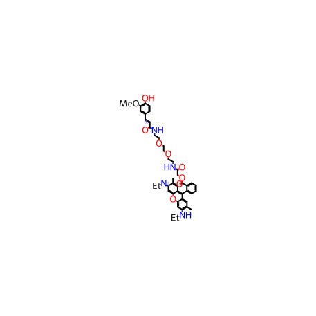 CC/N=c1\cc2oc3cc(NCC)c(C)cc3c(-c3ccccc3C(=O)OCC(=O)NCCOCCOCCNC(=O)/C=C/c3ccc(O)c(OC)c3)c-2cc1C